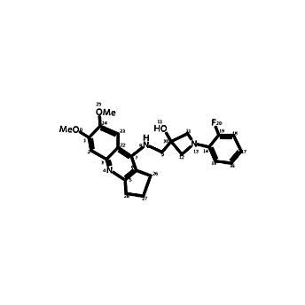 COc1cc2nc3c(c(NCC4(O)CN(c5ccccc5F)C4)c2cc1OC)CCC3